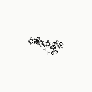 COC(=O)C(Oc1c(C(=O)O)sc(-c2cccc(NC3CCN(S(=O)(=O)Cc4ccccc4)CC3)c2)c1Cl)C1CC1